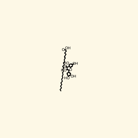 CCCCCCCCCCCCCCC=CCC=CCC=CCCCC(=O)O.O=c1c(O)c(-c2ccc(O)c(O)c2)oc2cc(O)cc(O)c12